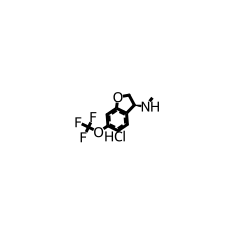 CN[C@@H]1COc2cc(OC(F)(F)F)ccc21.Cl